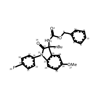 CCCCC1(NC(=O)OCc2ccccc2)C(=O)N(c2ccc(F)cc2)c2ccc(OC)cc21